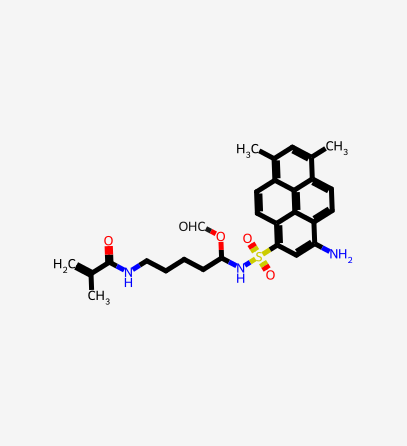 C=C(C)C(=O)NCCCCC(NS(=O)(=O)c1cc(N)c2ccc3c(C)cc(C)c4ccc1c2c34)OC=O